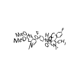 COc1cc2nccc(Oc3ccc(NC(=O)c4cn(C5CC5)c(C)c(-c5ccc(F)cc5C)c4=O)cc3F)c2nc1OC